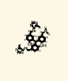 Cc1nnnn1N=Cc1ccc(O)c(C(c2cccc(CN(C)C)c2)c2cc(C=Nn3nnnc3C)ccc2O)c1